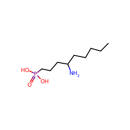 CCCCCC(N)CCCP(=O)(O)O